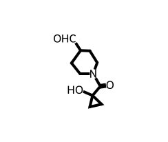 O=CC1CCN(C(=O)C2(O)CC2)CC1